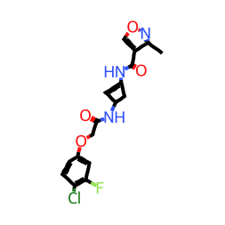 Cc1nocc1C(=O)NC1=CC(NC(=O)COc2ccc(Cl)c(F)c2)C1